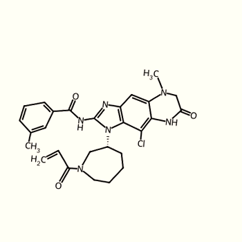 C=CC(=O)N1CCCC[C@@H](n2c(NC(=O)c3cccc(C)c3)nc3cc4c(c(Cl)c32)NC(=O)CN4C)C1